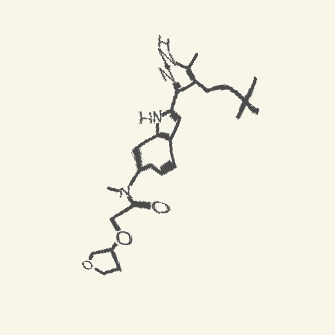 Cc1[nH]nc(-c2cc3c([nH]2)CC(N(C)C(=O)COC2CCOC2)C=C3)c1CCC(C)(C)C